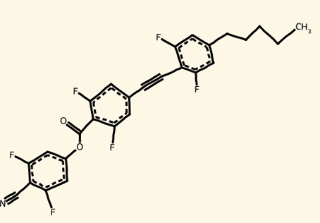 CCCCCc1cc(F)c(C#Cc2cc(F)c(C(=O)Oc3cc(F)c(C#N)c(F)c3)c(F)c2)c(F)c1